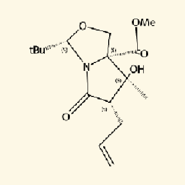 C=CC[C@@H]1C(=O)N2[C@H](C(C)(C)C)OC[C@@]2(C(=O)OC)[C@@]1(C)O